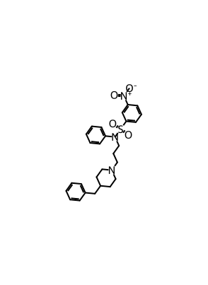 O=[N+]([O-])c1cccc(S(=O)(=O)N(CCCN2CCC(Cc3ccccc3)CC2)c2ccccc2)c1